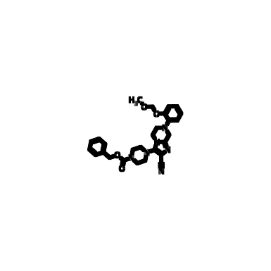 COCOc1ccccc1N1CCn2c(nc(C#N)c2N2CCN(C(=O)OCc3ccccc3)CC2)C1